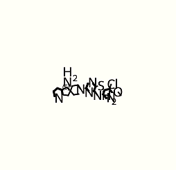 COc1nccc(Sc2ncc(N3CCC4(CC3)Cc3ncccc3[C@H]4N)nc2N)c1Cl